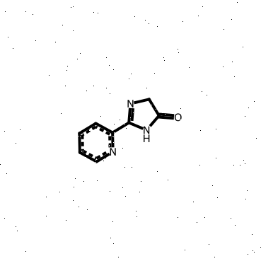 O=C1CN=C(c2ccccn2)N1